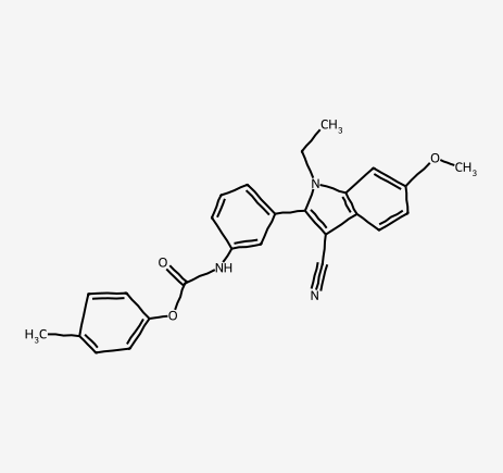 CCn1c(-c2cccc(NC(=O)Oc3ccc(C)cc3)c2)c(C#N)c2ccc(OC)cc21